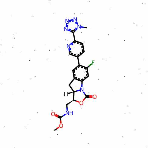 COC(=O)NC[C@@H]1OC(=O)N2c3cc(F)c(-c4ccc(-c5nnnn5C)nc4)cc3C[C@@H]12